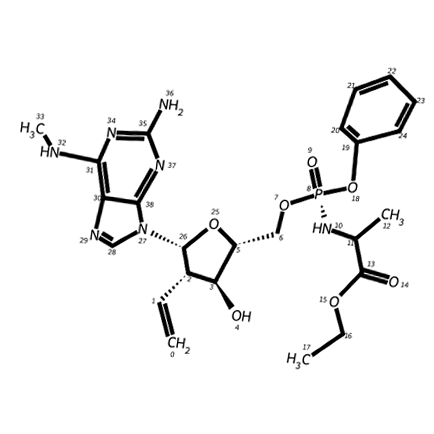 C=C[C@H]1[C@H](O)[C@@H](CO[P@](=O)(NC(C)C(=O)OCC)Oc2ccccc2)O[C@H]1n1cnc2c(NC)nc(N)nc21